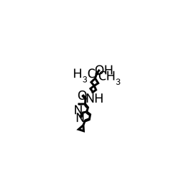 CC(C)(O)C1CC2(CC(NC(=O)c3cnc4nc(C5CC5)ccc4c3)C2)C1